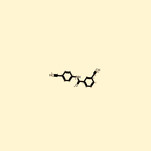 C#Cc1ccc(NC(=O)c2cccc(C#C)c2)cc1